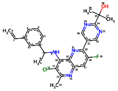 C=Cc1cccc(C(C)Nc2c(Cl)c(C)nc3cc(F)c(-c4cnc(C(C)(C)O)nc4)nc23)c1